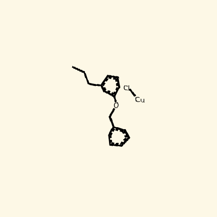 CCCc1cccc(OCc2ccccc2)c1.[Cl][Cu]